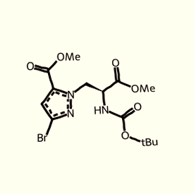 COC(=O)c1cc(Br)nn1C[C@H](NC(=O)OC(C)(C)C)C(=O)OC